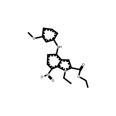 CCOC(=O)c1cc2c(Nc3cccc(OC)c3)ccc([N+](=O)[O-])c2n1CC